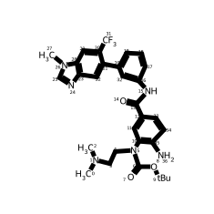 CN(C)CCN(C(=O)OC(C)(C)C)c1cc(C(=O)Nc2cccc(-c3cc4ncn(C)c4cc3C(F)(F)F)c2)ccc1N